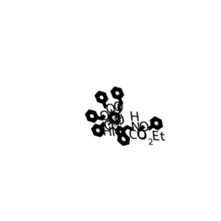 CCOC(=O)C(Cc1c([C@H]2O[C@H](COCc3ccccc3)[C@@H](OCc3ccccc3)[C@H](OCc3ccccc3)[C@@H]2OCc2ccccc2)[nH]c2ccccc12)NC(=O)OCc1ccccc1